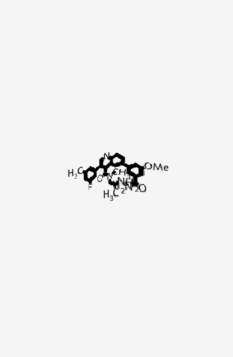 COc1cc(C(N)=O)cc(-c2ccc3ncc(-c4cc(C)cc(F)c4)c(C(=O)N(C)C[C@H](C)N)c3c2)c1